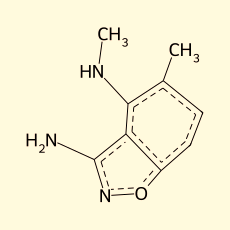 CNc1c(C)ccc2onc(N)c12